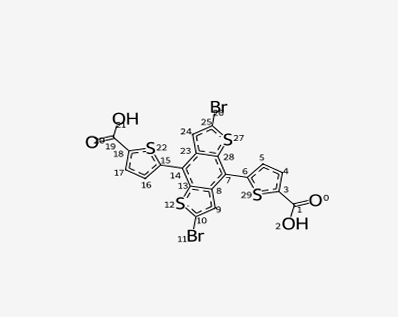 O=C(O)c1ccc(-c2c3cc(Br)sc3c(-c3ccc(C(=O)O)s3)c3cc(Br)sc23)s1